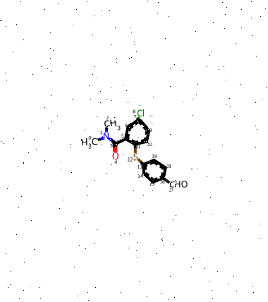 CN(C)C(=O)c1cc(Cl)ccc1Sc1ccc(C=O)cc1